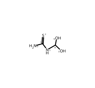 NC(=S)NC(O)O